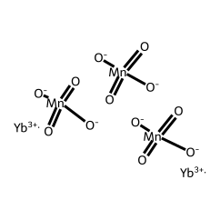 [O]=[Mn](=[O])([O-])[O-].[O]=[Mn](=[O])([O-])[O-].[O]=[Mn](=[O])([O-])[O-].[Yb+3].[Yb+3]